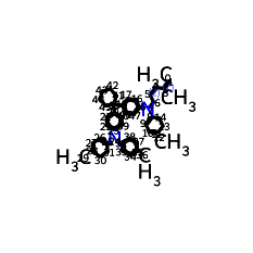 C/C=C(C)\C=C/CN(C1=CC=C(C)CC1)c1ccc(C2(c3ccc(N(C4=CC=C(C)CC4)c4ccc(C)cc4)cc3)CCCCC2)cc1